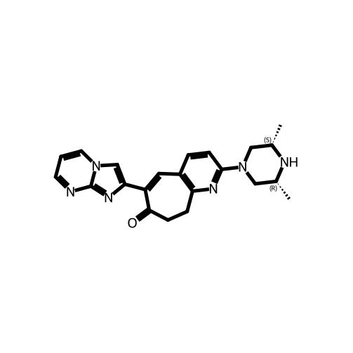 C[C@@H]1CN(c2ccc3c(n2)CCC(=O)C(c2cn4cccnc4n2)=C3)C[C@H](C)N1